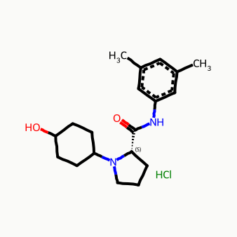 Cc1cc(C)cc(NC(=O)[C@@H]2CCCN2C2CCC(O)CC2)c1.Cl